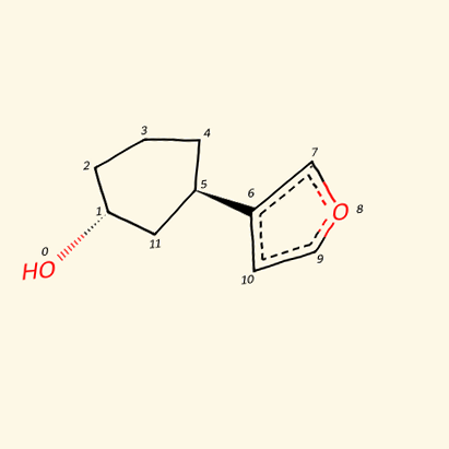 O[C@@H]1CCC[C@@H](c2[c]occ2)C1